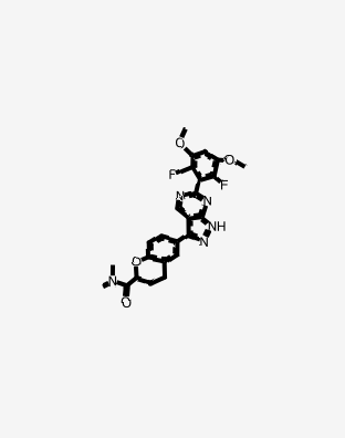 COc1cc(OC)c(F)c(-c2ncc3c(-c4ccc5c(c4)CCC(C(=O)N(C)C)O5)n[nH]c3n2)c1F